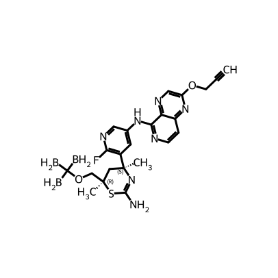 BC(B)(B)OC[C@@]1(C)C[C@@](C)(c2cc(Nc3nccc4nc(OCC#C)cnc34)cnc2F)N=C(N)S1